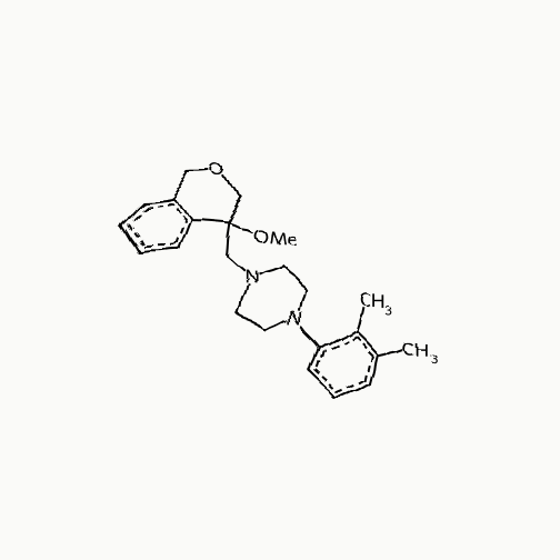 COC1(CN2CCN(c3cccc(C)c3C)CC2)COCc2ccccc21